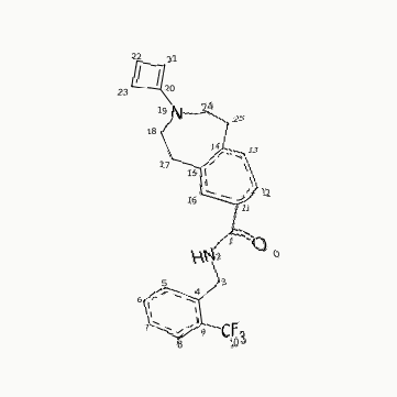 O=C(NCc1ccccc1C(F)(F)F)c1ccc2c(c1)CCN(C1=CC=C1)CC2